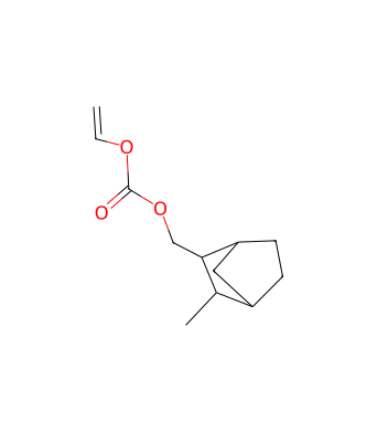 C=COC(=O)OCC1C2CCC(C2)C1C